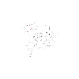 CC1=CC=CC2[CH]([Zr+2]([C]3=CC=CC3)=[C](Cc3ccccc3)Cc3ccccc3)C3(C)C4(C)C=CC=CC4(C)C4(C)C=CC=CC4(C)C3(C)C12C.[Cl-].[Cl-]